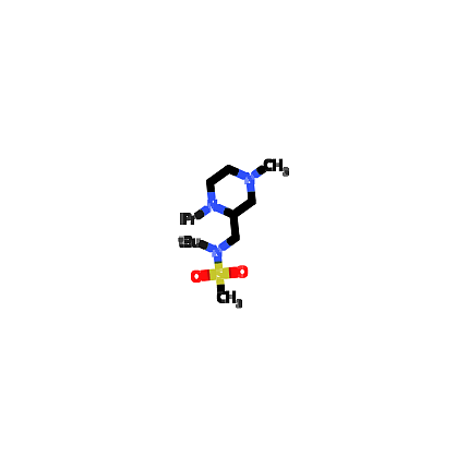 CC(C)N1CCN(C)CC1CN(C(C)(C)C)S(C)(=O)=O